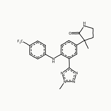 Cn1nnc(-c2cc(C3(C)CCNC3=O)ccc2Nc2ccc(C(F)(F)F)cc2)n1